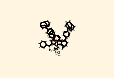 Cc1ccc(-c2ccc(C34CC5CC(CC(C5)C3)C4)cc2)c2c1[CH]([Zr]([CH3])([CH3])(=[SiH2])[CH]1C(CC3CCCCC3)=Cc3c(-c4ccc(C56CC7CC(CC(C7)C5)C6)cc4)ccc(C)c31)C(CC1CCCCC1)=C2.Cl.Cl